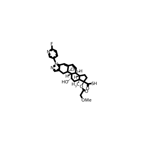 COCC(=O)O[C@]1(C(=O)S)CC[C@H]2[C@@H]3C=CC4=Cc5c(cnn5-c5ccc(F)nc5)C[C@]4(C)[C@H]3[C@@H](O)C[C@@]21C